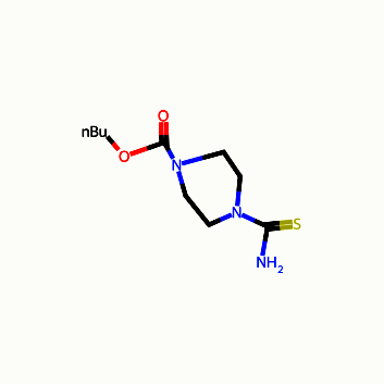 CCCCOC(=O)N1CCN(C(N)=S)CC1